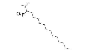 CCCCCCCCCCCCCC(P=O)C(C)C